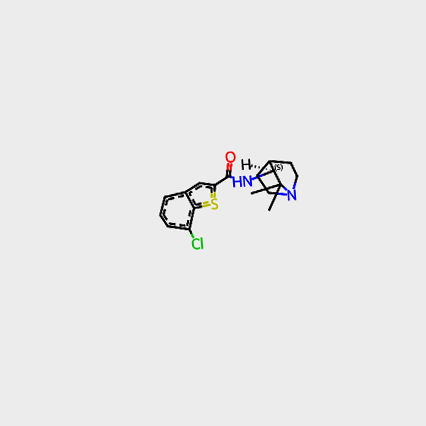 CC1(C)[C@@H](NC(=O)c2cc3cccc(Cl)c3s2)C2CCN1CC2